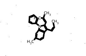 C/C=C\c1c(C=C(C)C)n(-c2ccccc2)c2cc(C)ccc12